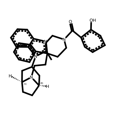 Cc1nc2ccccc2n1C1C[C@H]2CC[C@@H](C1)N2CCC1(c2ccccc2)CCN(C(=O)c2ccccc2O)CC1